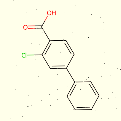 O=C(O)c1ccc(-c2c[c]ccc2)cc1Cl